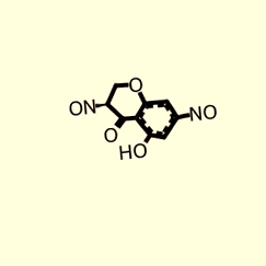 O=Nc1cc(O)c2c(c1)OC[C@H](N=O)C2=O